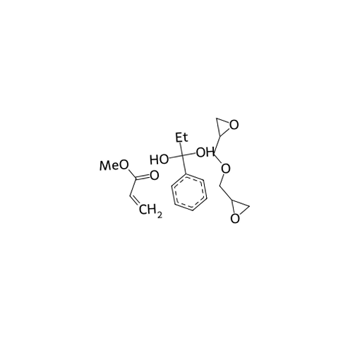 C(OCC1CO1)C1CO1.C=CC(=O)OC.CCC(O)(O)c1ccccc1